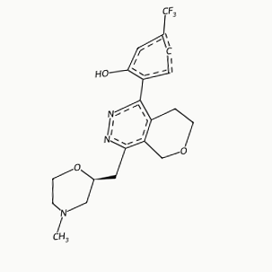 CN1CCO[C@@H](Cc2nnc(-c3ccc(C(F)(F)F)cc3O)c3c2COCC3)C1